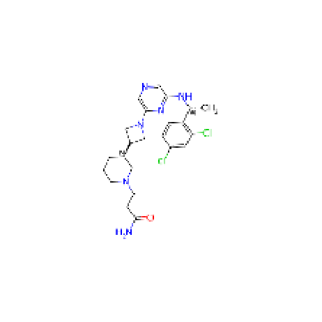 C[C@@H](Nc1cncc(N2CC([C@@H]3CCCN(CCC(N)=O)C3)C2)n1)c1ccc(Cl)cc1Cl